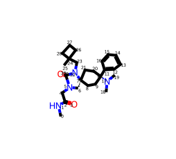 CNC(=O)CN1C[C@]2(CC[C@@](c3ccccc3)(N(C)C)CC2)N(CC2(C)CCC2)C1=O